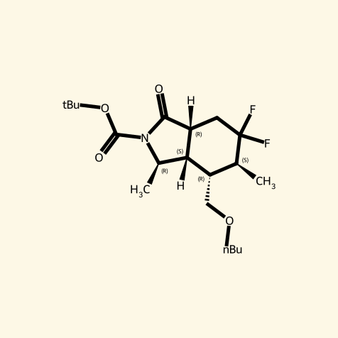 CCCCOC[C@@H]1[C@@H]2[C@@H](C)N(C(=O)OC(C)(C)C)C(=O)[C@@H]2CC(F)(F)[C@H]1C